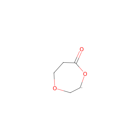 O=C1CCOC[CH]O1